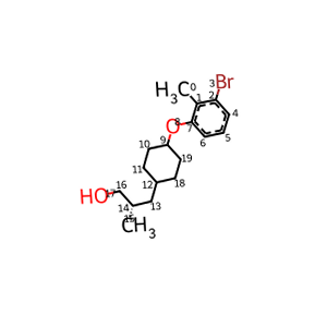 Cc1c(Br)cccc1OC1CCC(C[C@H](C)CO)CC1